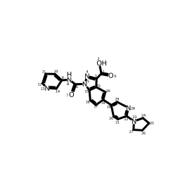 O=C(O)c1nn(C(=O)Nc2cccnc2)c2ccc(-c3ccc(N4CCCC4)nc3)cc12